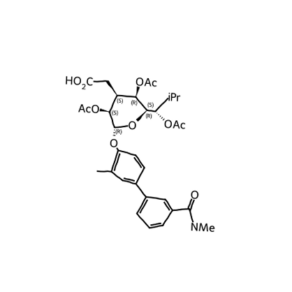 CNC(=O)c1cccc(-c2ccc(O[C@H]3O[C@H]([C@@H](OC(C)=O)C(C)C)[C@H](OC(C)=O)[C@H](CC(=O)O)[C@@H]3OC(C)=O)c(C)c2)c1